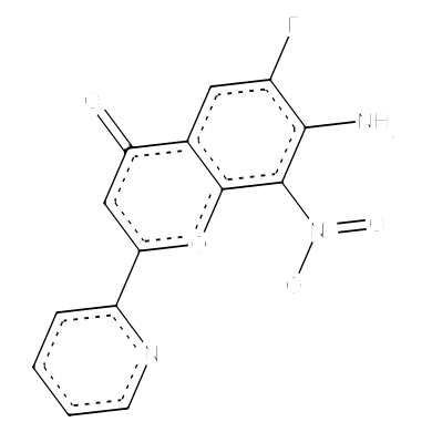 Nc1c(F)cc2c(=O)cc(-c3ccccn3)oc2c1[N+](=O)[O-]